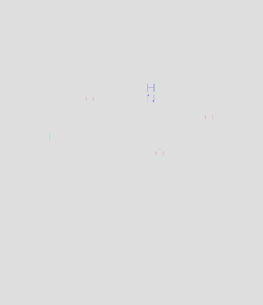 O=C1NC(=O)C(c2sccc2F)O1